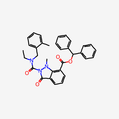 CCN(Cc1ccccc1C)C(=O)n1c(=O)c2cccc(C(=O)OC(c3ccccc3)c3ccccc3)c2n1C